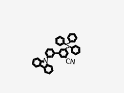 N#Cc1cc(-c2cccc(-n3c4ccccc4c4ccccc43)c2)cc(S(c2ccccc2)(c2ccccc2)c2ccccc2)c1